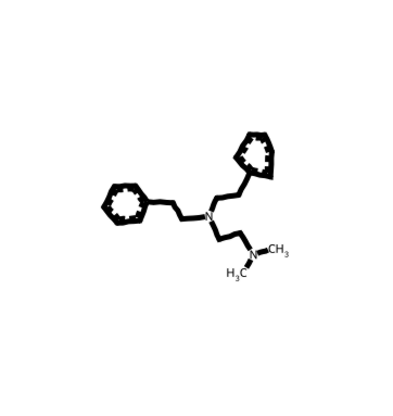 CN(C)CCN(CCc1ccccc1)CCc1ccccc1